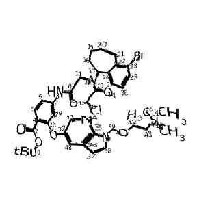 CC(C)(C)OC(=O)c1ccc(NC(=O)CN(C(=O)CCl)C2CCCCc3c(Br)cccc32)cc1Oc1cnc2c(ccn2COCC[Si](C)(C)C)c1